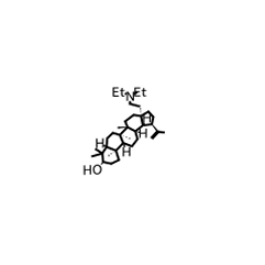 C=C(C)[C@@H]1CC[C@]2(CCN(CC)CC)CC[C@]3(C)[C@H](CC[C@@H]4[C@@]5(C)CC[C@H](O)C(C)(C)[C@@H]5CC[C@]43C)[C@@H]12